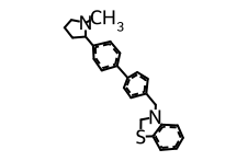 CN1CCCC1c1ccc(-c2ccc(CN3CSc4ccccc43)cc2)cc1